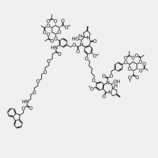 C=C1C[C@H]2[C@H](O)N(C(=O)OCc3ccc(O[C@@H]4O[C@H](C(=O)OC)[C@@H](OC(C)=O)[C@H](OC(C)=O)[C@H]4OC(C)=O)cc3)c3cc(OCCCCCOc4cc5c(cc4OC)C(=O)N4CC(=C)C[C@H]4[C@H](O)N5C(=O)OCc4ccc(O[C@@H]5O[C@H](C(=O)OC)[C@@H](OC(C)=O)[C@H](OC(C)=O)[C@H]5OC(C)=O)c(NC(=O)CCOCCOCCOCCOCCNC(=O)OCC5c6ccccc6-c6ccccc65)c4)c(OC)cc3C(=O)N2C1